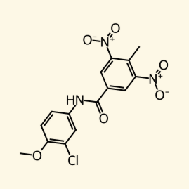 COc1ccc(NC(=O)c2cc([N+](=O)[O-])c(C)c([N+](=O)[O-])c2)cc1Cl